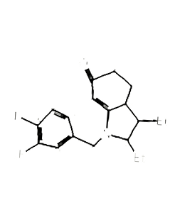 CCC1C2CCC(=O)C=C2N(Cc2ccc(F)c(F)c2)C1CC